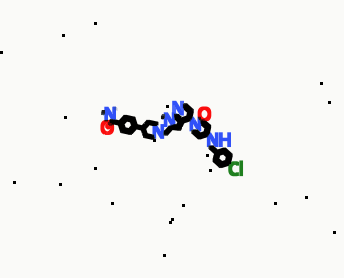 CN(C)C(=O)c1ccc(C2CCN(Cc3cc4c(-n5ccc(NCc6ccc(Cl)cc6)cc5=O)ccnc4n3C)CC2)cc1